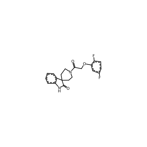 O=C(COc1cc(F)ccc1F)N1CCC2(CC1)C(=O)Nc1ccccc12